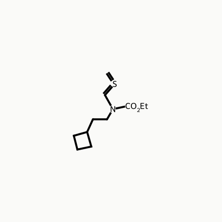 C=S=CN(CCC1CCC1)C(=O)OCC